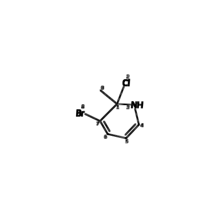 CC1(Cl)NC=CC=C1Br